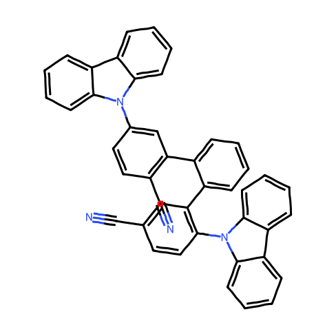 N#Cc1ccc(-n2c3ccccc3c3ccccc32)c(-c2ccccc2-c2cc(-n3c4ccccc4c4ccccc43)ccc2C#N)c1